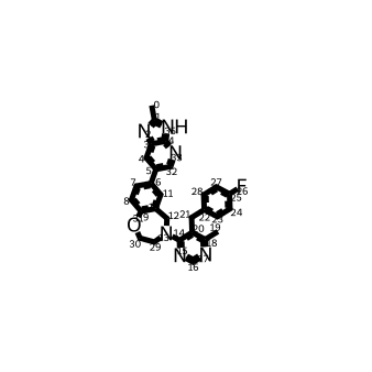 Cc1nc2cc(-c3ccc4c(c3)CN(c3ncnc(C)c3Cc3ccc(F)cc3)CCO4)cnc2[nH]1